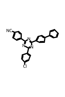 N#Cc1ccc(-c2nc(-c3ccc(Cl)cc3)nc(-c3ccc(-c4ccccc4)cc3)n2)cc1